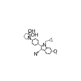 COc1ccc2c(C#N)c(-c3ccc(N4CCCS4(O)O)cc3)n(CC3CC3)c2c1